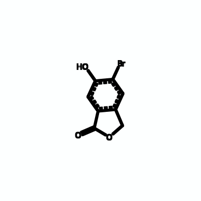 O=C1OCc2cc(Br)c(O)cc21